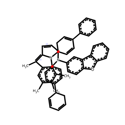 C/C1=C(N(c2ccc(C3C=CC=CC3)cc2)C2C=CC(c3ccccc3)=CC2)\C=C/CN(c2ccc3oc4ccccc4c3c2)c2c1cc(C)c(C)c2C